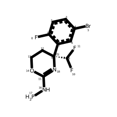 Fc1ccc(Br)cc1[C@]1(C(F)F)CCOC(NP)=N1